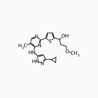 COCCC(O)c1ccc(-c2ncc(C)c(Nc3cc(C4CC4)n[nH]3)n2)s1